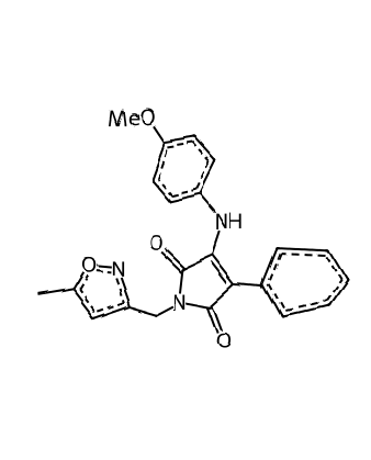 COc1ccc(NC2=C(c3ccccc3)C(=O)N(Cc3cc(C)on3)C2=O)cc1